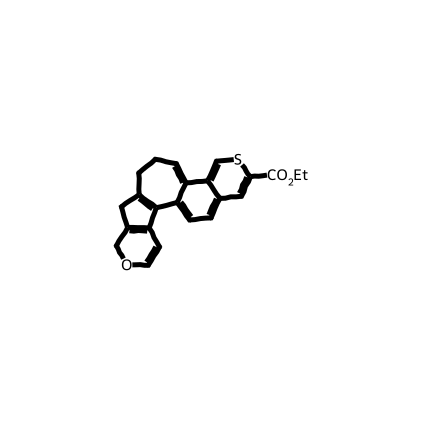 CCOC(=O)C1=Cc2ccc3c(c2=CS1)=CCCC1=C3C2=C(COC=C2)C1